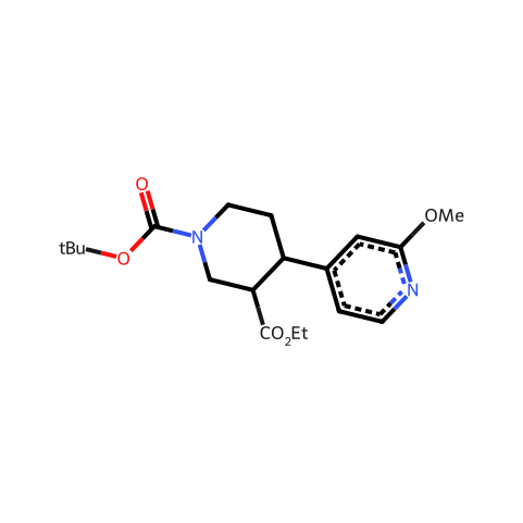 CCOC(=O)C1CN(C(=O)OC(C)(C)C)CCC1c1ccnc(OC)c1